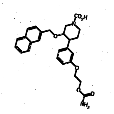 NC(=O)OCCOc1cccc(C2CCN(C(=O)O)CC2OCc2ccc3ccccc3c2)c1